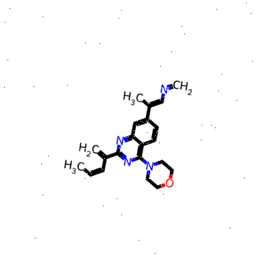 C=N/C=C(\C)c1ccc2c(N3CCOCC3)nc(C(=C)/C=C\C)nc2c1